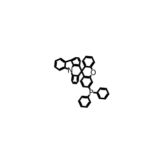 c1ccc(P(c2ccccc2)c2ccc3c(c2)Oc2ccccc2C32c3ccccc3-n3c4ccccc4c4cccc2c43)cc1